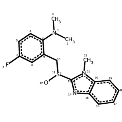 CN(C)c1ccc(F)cc1C[S+]([O-])c1nc2ccccc2n1C